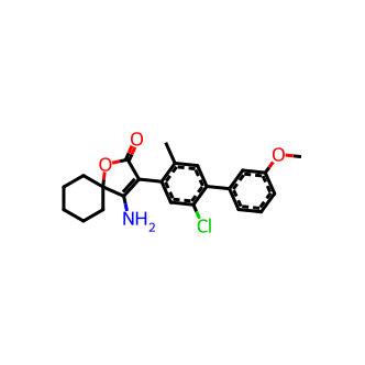 COc1cccc(-c2cc(C)c(C3=C(N)C4(CCCCC4)OC3=O)cc2Cl)c1